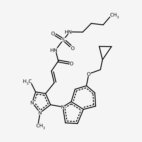 CCCCNS(=O)(=O)NC(=O)C=Cc1c(C)nn(C)c1-n1ccc2ccc(OCC3CC3)cc21